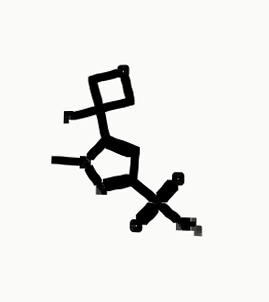 Cn1nc(S(N)(=O)=O)cc1C1(F)COC1